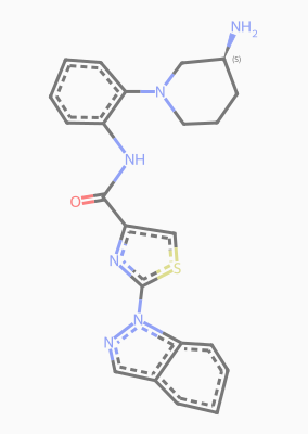 N[C@H]1CCCN(c2ccccc2NC(=O)c2csc(-n3ncc4ccccc43)n2)C1